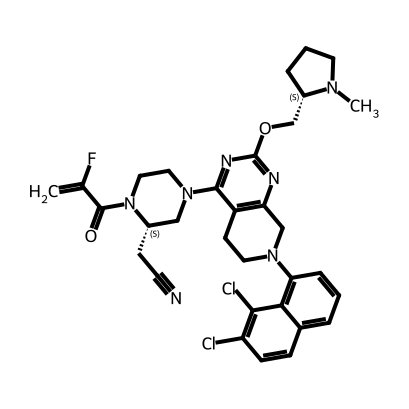 C=C(F)C(=O)N1CCN(c2nc(OC[C@@H]3CCCN3C)nc3c2CCN(c2cccc4ccc(Cl)c(Cl)c24)C3)C[C@@H]1CC#N